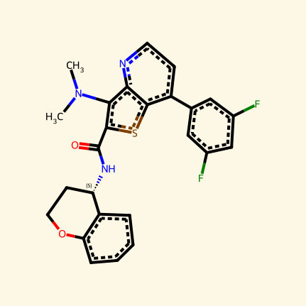 CN(C)c1c(C(=O)N[C@H]2CCOc3ccccc32)sc2c(-c3cc(F)cc(F)c3)ccnc12